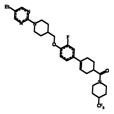 CCc1cnc(N2CCC(COc3ccc(C4=CCC(C(=O)N5CCC(C(F)(F)F)CC5)CC4)cc3F)CC2)nc1